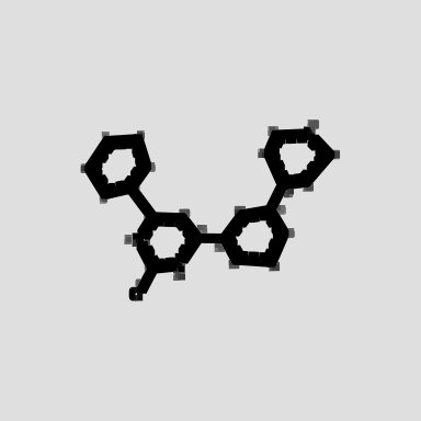 Clc1nc(-c2ccccc2)cc(-c2cccc(-c3ccncc3)c2)n1